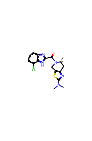 C[C@@H]1Cc2nc(N(C)C)sc2CN1C(=O)c1nc2cccc(Cl)c2[nH]1